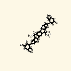 CC1(C)c2cc3c(cc2-c2sc4cc(-c5c(F)c(Cl)cc6nsnc56)sc4c21)C(C)(C)c1c-3sc2cc(-c3c(F)c(Cl)cc4nsnc34)sc12